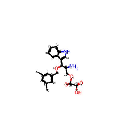 Cc1cc(C)cc(COC(c2c[nH]c3ccccc23)C(N)COC(=O)C(=O)O)c1